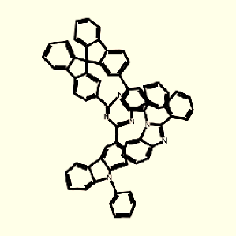 c1ccc(-c2nc(-c3ccc4c(c3)C3(c5ccccc5-c5ccc(-c6ccc(-n7c(-c8ccccc8)nc8ccccc87)cc6)cc53)c3ccccc3-4)nc(-c3ccc4c(c3)c3ccccc3n4-c3ccccc3)n2)cc1